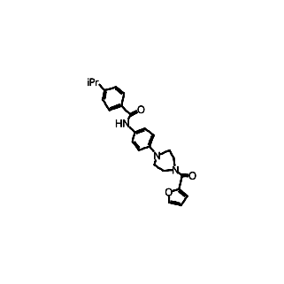 CC(C)c1ccc(C(=O)Nc2ccc(N3CCN(C(=O)c4ccco4)CC3)cc2)cc1